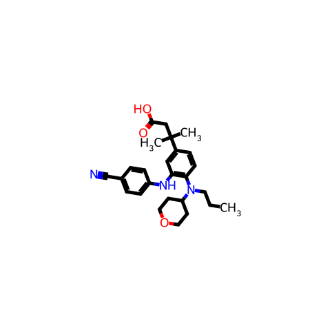 CCCN(c1ccc(C(C)(C)CC(=O)O)cc1Nc1ccc(C#N)cc1)C1CCOCC1